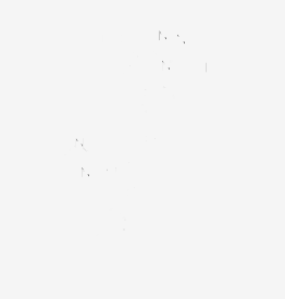 Cc1nnc([S+](C)[O-])n1-c1ccc(OCC2COC(Cn3ccnc3)(c3ccc(Cl)cc3Cl)O2)cc1